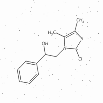 CC1=C(C)N(CC(O)c2ccccc2)C(Cl)S1